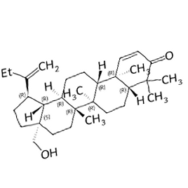 C=C(CC)[C@@H]1CC[C@]2(CO)CC[C@]3(C)[C@H](CC[C@@H]4[C@@]5(C)C=CC(=O)C(C)(C)[C@@H]5CC[C@]43C)[C@@H]12